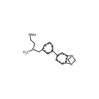 CNCCN(C)Cc1cccc(-c2ccc3c(c2)N2CN3C2)c1